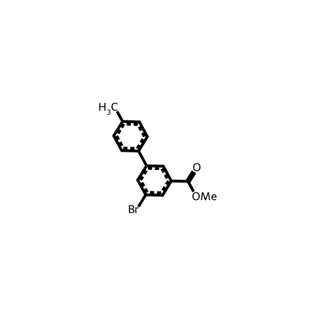 COC(=O)c1cc(Br)cc(-c2ccc(C)cc2)c1